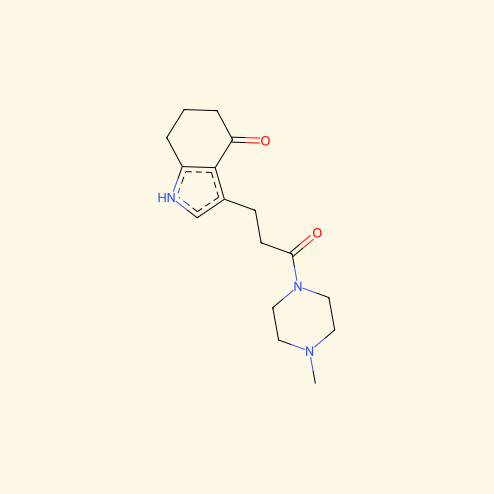 CN1CCN(C(=O)CCc2c[nH]c3c2C(=O)CCC3)CC1